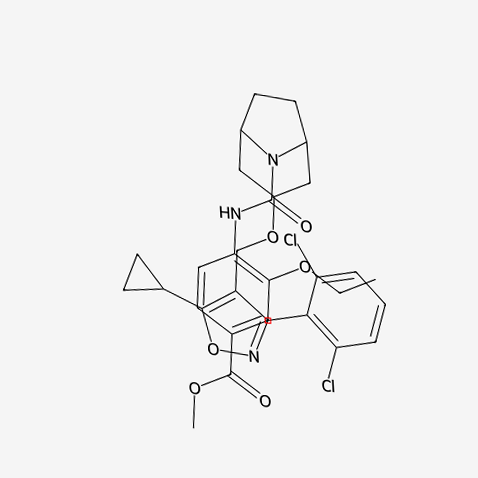 CCOc1cc(C(=O)OC)ccc1NC(=O)N1C2CCC1CC(OCc1c(-c3c(Cl)cccc3Cl)noc1C1CC1)C2